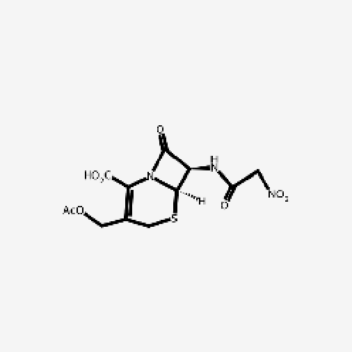 CC(=O)OCC1=C(C(=O)O)N2C(=O)[C@@H](NC(=O)C[N+](=O)[O-])[C@H]2SC1